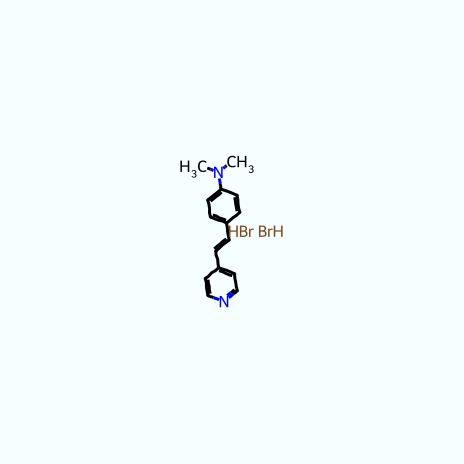 Br.Br.CN(C)c1ccc(/C=C/c2ccncc2)cc1